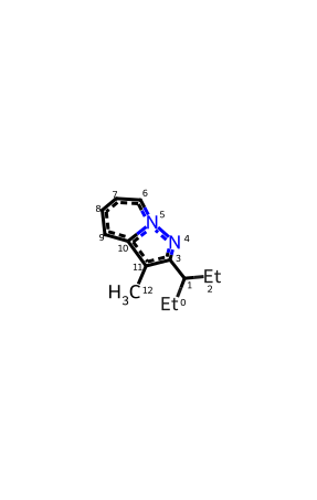 CCC(CC)c1nn2ccccc2c1C